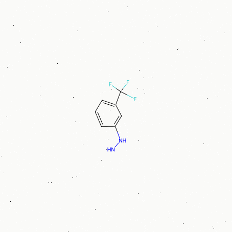 [NH]Nc1cccc(C(F)(F)F)c1